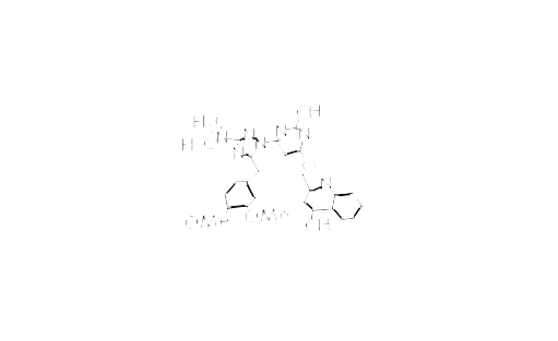 COc1ccc(Cc2nc(N(C)C)nn2-c2cc(OCc3cc(C)c4ccccc4n3)nc(C)n2)cc1OC